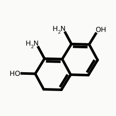 NC1=c2c(N)c(O)ccc2=CCC1O